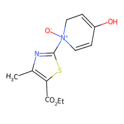 CCOC(=O)c1sc([N+]2([O-])C=CC(O)=CC2)nc1C